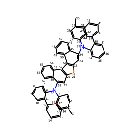 Cc1ccc(N(c2ccccc2-c2ccccc2)c2cc3sc4cc(N(c5ccc(C)cc5)c5ccccc5-c5ccccc5)c5ccccc5c4c3c3ccccc23)cc1